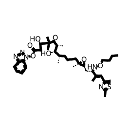 CCCCON[C@@H](C[C@@H]1O[C@]1(C)CCC[C@H](C)[C@H](O)[C@@H](C)C(=O)C(C)(C)[C@@H](O)CC(=O)On1nnc2ccccc21)/C(C)=C/c1csc(C)n1